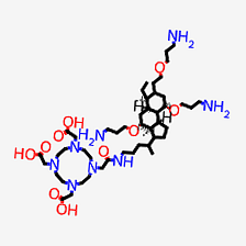 CC[C@@]1(C)C(CCOCCCN)C[C@@H](OCCCN)C2[C@@H]3CCC(C(C)CCCNC(=O)CN4CCN(CC(=O)O)CCN(CC(=O)O)CCN(CC(=O)O)CC4)[C@@]3(C)[C@@H](OCCCN)C[C@@H]21